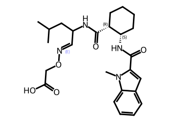 CC(C)CC(/C=N/OCC(=O)O)NC(=O)[C@@H]1CCCC[C@@H]1NC(=O)c1cc2ccccc2n1C